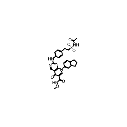 CONC(=O)c1cn(-c2ccc3c(c2)CCC3)c2nc(Nc3ccc(CCS(=O)(=O)NC(C)=O)cc3)ncc2c1=O